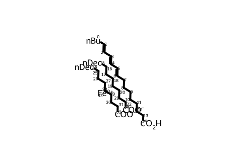 CCCCC=CC=CC=CCCCCCCCC(=O)O.CCCCCCCCCCCCCCCCCC(=O)[O-].CCCCCCCCCCCCCCCCCC(=O)[O-].[Fe+2]